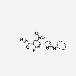 CN1C(=NC2CCCCCC2)SCC1c1cc(F)c(C(N)=O)cc1[N+](=O)[O-]